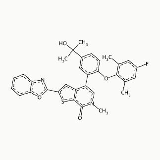 Cc1cc(F)cc(C)c1Oc1ccc(C(C)(C)O)cc1-c1cn(C)c(=O)c2sc(-c3nc4ccccc4o3)cc12